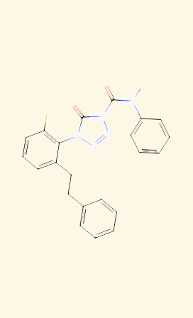 CCN(C(=O)n1nnn(-c2c(F)cccc2CCc2ccccc2)c1=O)c1ccccc1